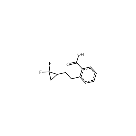 O=C(O)c1ccccc1CCC1CC1(F)F